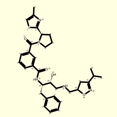 Cc1csc([C@H]2CCCN2C(=O)c2cccc(C(=O)N[C@@H](Cc3ccccc3)[C@H](O)CNCC3CC(C(C)C)=NO3)c2)n1